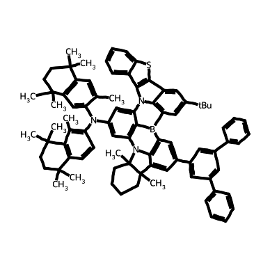 Cc1cc2c(cc1N(c1cc3c4c(c1)-n1c5c(cc(C(C)(C)C)cc5c5sc6ccccc6c51)B4c1cc(-c4cc(-c5ccccc5)cc(-c5ccccc5)c4)cc4c1N3C1(C)CCCCC41C)c1ccc3c(c1C)C(C)(C)CCC3(C)C)C(C)(C)CCC2(C)C